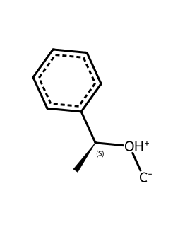 [CH2-][OH+][C@@H](C)c1ccccc1